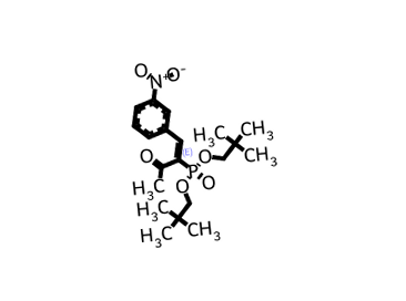 CC(=O)/C(=C\c1cccc([N+](=O)[O-])c1)P(=O)(OCC(C)(C)C)OCC(C)(C)C